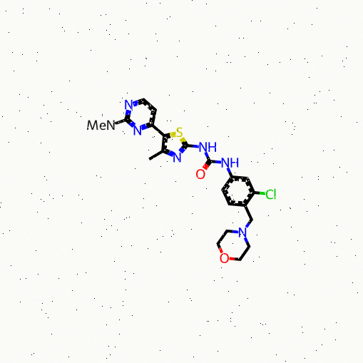 CNc1nccc(-c2sc(NC(=O)Nc3ccc(CN4CCOCC4)c(Cl)c3)nc2C)n1